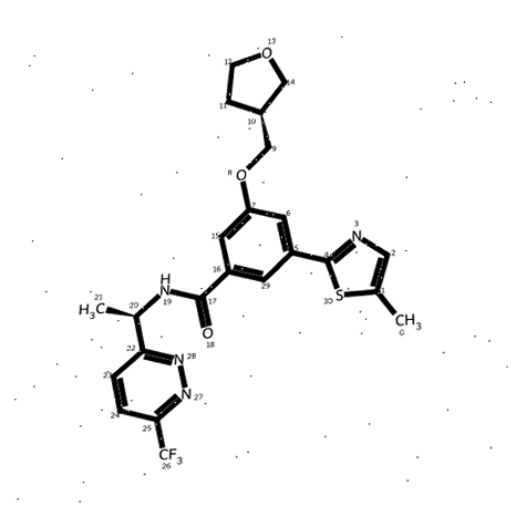 Cc1cnc(-c2cc(OC[C@H]3CCOC3)cc(C(=O)N[C@H](C)c3ccc(C(F)(F)F)nn3)c2)s1